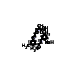 C/C(=N/OC/C=C/c1cccc(C)c1)C(=O)O.Cc1cccc(/C=C/CON)c1.[NaH]